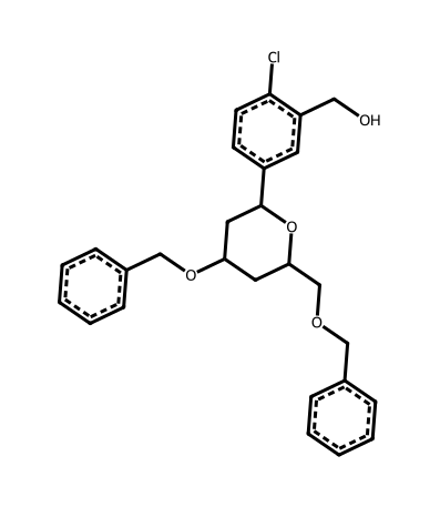 OCc1cc(C2CC(OCc3ccccc3)CC(COCc3ccccc3)O2)ccc1Cl